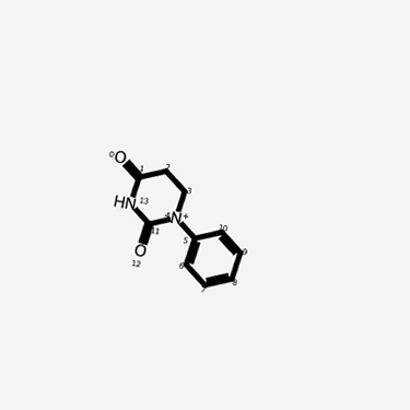 O=C1CC[N+](c2ccccc2)C(=O)N1